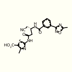 Cc1nc(-c2cccc(C(=O)N[C@@H](CC#N)CC(=O)Nc3nc(C)c(C(=O)O)s3)c2)no1